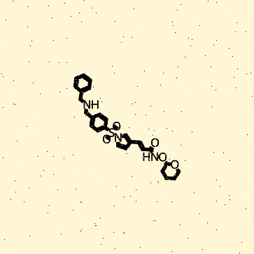 O=C(C=Cc1ccn(S(=O)(=O)c2ccc(CNCc3ccccc3)cc2)c1)NOC1CCCCO1